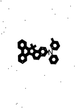 Cc1cccc(N(c2ccccc2)c2ccc3c4c(ccc3c2)-c2c(c3ccccc3c3ccccc23)C4(C)C)c1